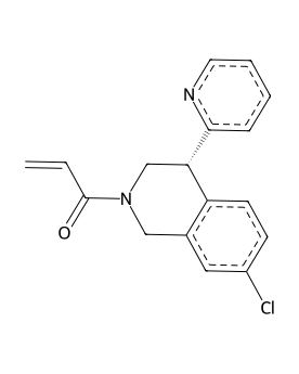 C=CC(=O)N1Cc2cc(Cl)ccc2[C@@H](c2ccccn2)C1